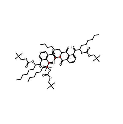 CCCCCCC(OC(=O)OCC(C)(C)C)C(=O)c1cccc(C(=O)OOC(=O)c2cccc(C(=O)C(CCCCCC)OC(=O)OCC(C)(C)C)c2C(=O)C(CCCCCC)OC(=O)OCC(C)(C)C)c1C(=O)C(CCCCCC)OC(=O)OCC(C)(C)C